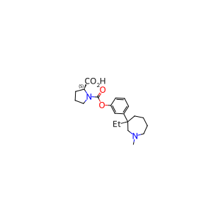 CCC1(c2cccc(OC(=O)N3CCC[C@H]3C(=O)O)c2)CCCCN(C)C1